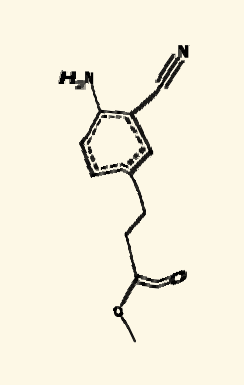 COC(=O)CCc1ccc(N)c(C#N)c1